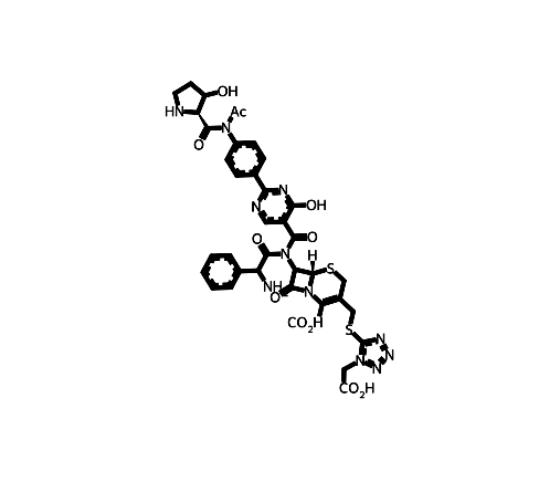 CC(=O)N(C(=O)[C@H]1NCCC1O)c1ccc(-c2ncc(C(=O)N(C(=O)C(N)c3ccccc3)C3C(=O)N4C(C(=O)O)=C(CSc5nnnn5CC(=O)O)CS[C@@H]34)c(O)n2)cc1